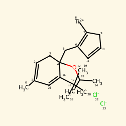 CC1=CCC(CC2=[C]([Ti+2])CC=C2)(OC(C)C)C(C(C)(C)C)=C1.[Cl-].[Cl-]